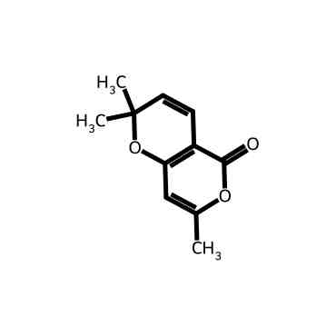 Cc1cc2c(c(=O)o1)C=CC(C)(C)O2